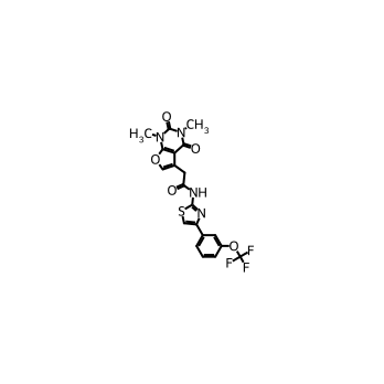 Cn1c(=O)c2c(CC(=O)Nc3nc(-c4cccc(OC(F)(F)F)c4)cs3)coc2n(C)c1=O